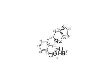 Br.COC(=O)[C@H](c1ccccc1Cl)N1CCc2sccc2C1